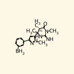 Bc1cccc(-c2cc([C@@]3(C)NC(=N)N(C)C(=O)[C@H]3C)n(C)n2)c1